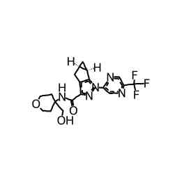 O=C(NC1(CO)CCOCC1)c1nn(-c2cnc(C(F)(F)F)cn2)c2c1C[C@H]1C[C@@H]21